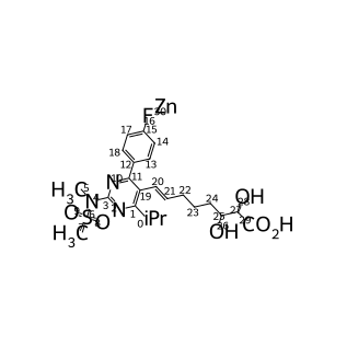 CC(C)c1nc(N(C)S(C)(=O)=O)nc(-c2ccc(F)cc2)c1C=CCCCC(O)C(O)C(=O)O.[Zn]